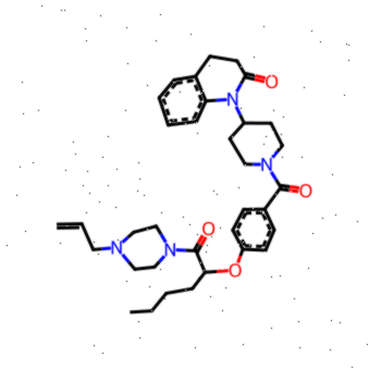 C=CCN1CCN(C(=O)C(CCCC)Oc2ccc(C(=O)N3CCC(N4C(=O)CCc5ccccc54)CC3)cc2)CC1